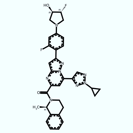 C[C@@H]1c2ccccc2CCN1C(=O)c1cc(-c2cnn(C3CC3)n2)n2nc(-c3ccc(N4C[C@@H](O)[C@H](F)C4)cc3F)cc2n1